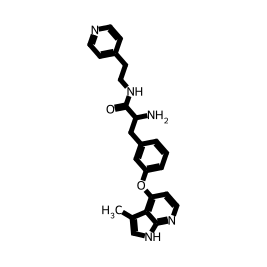 Cc1c[nH]c2nccc(Oc3cccc(CC(N)C(=O)NCCc4ccncc4)c3)c12